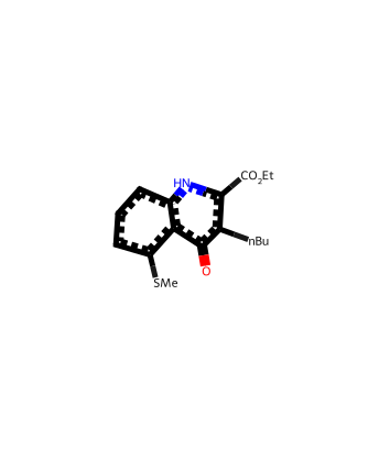 CCCCc1c(C(=O)OCC)[nH]c2cccc(SC)c2c1=O